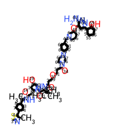 Cc1ncsc1-c1ccc([C@H](C)NC(=O)C[C@@H]2C[C@@H](O)CN2C(=O)[C@@H](NC(=O)CCOCCC(=O)N2CCN(c3ccc(CN4CCCC(Oc5cc(-c6ccccc6O)nnc5N)C4)cc3)CC2)C(C)(C)C)cc1